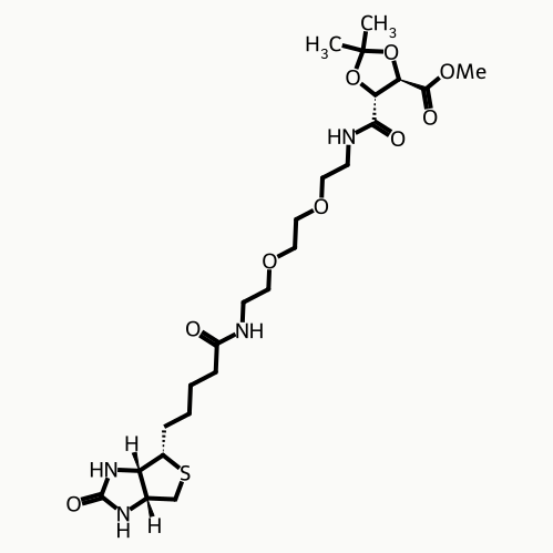 COC(=O)[C@@H]1OC(C)(C)O[C@H]1C(=O)NCCOCCOCCNC(=O)CCCC[C@@H]1SC[C@@H]2NC(=O)N[C@@H]21